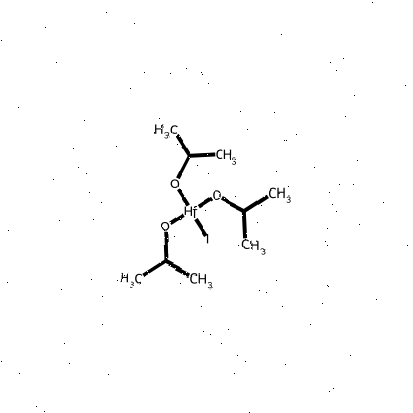 CC(C)[O][Hf]([I])([O]C(C)C)[O]C(C)C